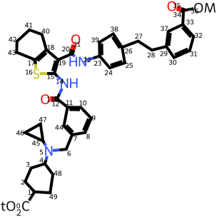 CCOC(=O)C1CCC(N(Cc2cccc(C(=O)Nc3sc4c(c3C(=O)Nc3ccc(CCc5cccc(C(=O)OC)c5)cc3)CCCC4)c2)C2CC2)CC1